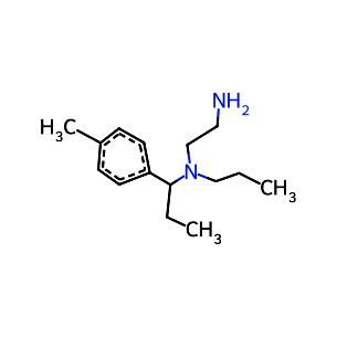 CCCN(CCN)C(CC)c1ccc(C)cc1